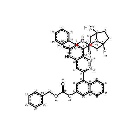 C[C@]12CC[C@H](CN(c3nc(=O)[nH]c4cc(-c5cc(OC(=O)OCc6ccccc6)cc6ccccc56)nnc34)C1)N2C(=O)OCc1ccccc1